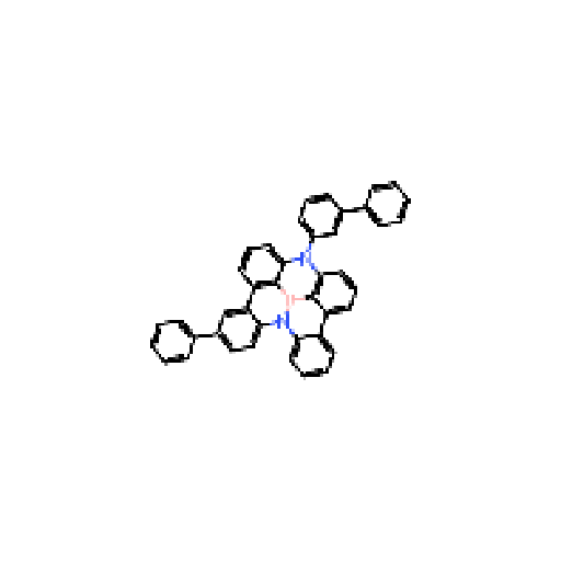 c1ccc(-c2cccc(N3c4cccc5c4B4c6c(cccc63)-c3cc(-c6ccccc6)ccc3N4c3ccccc3-5)c2)cc1